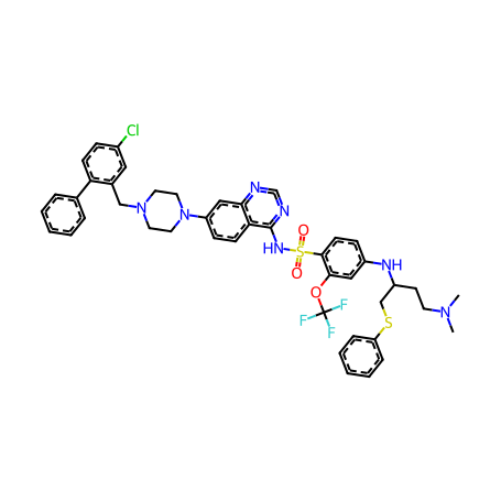 CN(C)CCC(CSc1ccccc1)Nc1ccc(S(=O)(=O)Nc2ncnc3cc(N4CCN(Cc5cc(Cl)ccc5-c5ccccc5)CC4)ccc23)c(OC(F)(F)F)c1